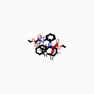 CCOC(=O)C(=O)Nc1ccccc1N(C(=O)C(=O)OCC)[C@H]1C[C@H]2CCC[C@@H](C1)[C@H]2[C@H]1C[C@@H]2C[C@@H](C)C[C@@H](C2)C1